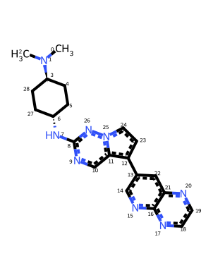 CN(C)[C@H]1CC[C@H](Nc2ncc3c(-c4cnc5nccnc5c4)ccn3n2)CC1